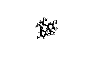 CCn1c(-c2c(F)cc(F)cc2F)c(-c2nn(C)cc2Br)cc(Cl)c1=O